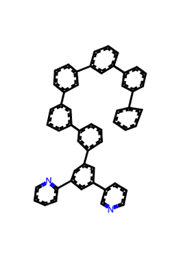 c1ccc(-c2cccc(-c3cccc(-c4cccc(-c5cccc(-c6cccc(-c7cc(-c8cccnc8)cc(-c8ccccn8)c7)c6)c5)c4)c3)c2)cc1